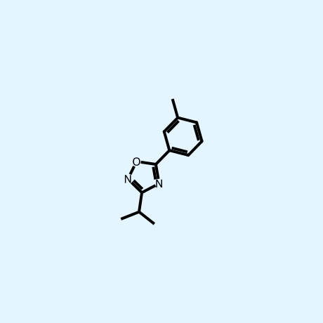 Cc1cccc(-c2nc(C(C)C)no2)c1